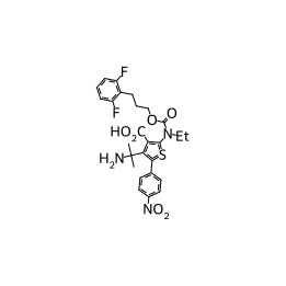 CCN(C(=O)OCCCc1c(F)cccc1F)c1sc(-c2ccc([N+](=O)[O-])cc2)c(C(C)(C)N)c1C(=O)O